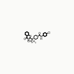 CC(c1nc2ccccc2c(=O)n1C)N1CCN(C(=O)Nc2ccc(Cl)cc2)CC1